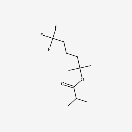 CC(C)C(=O)OC(C)(C)CCCC(F)(F)F